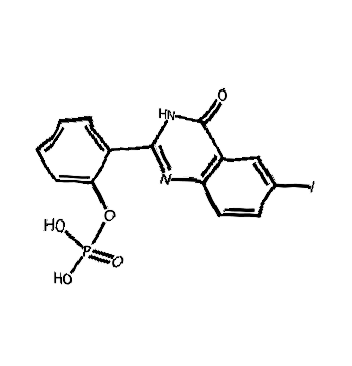 O=c1[nH]c(-c2ccccc2OP(=O)(O)O)nc2ccc(I)cc12